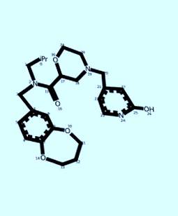 CC(C)CN(Cc1ccc2c(c1)OCCCO2)C(=O)C1CN(Cc2ccnc(O)c2)CCO1